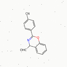 N#Cc1ccc(C2=NC(C=O)c3ccccc3O2)cc1